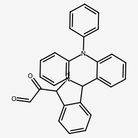 O=CC(=O)C1NC(c2ccccc2N(c2ccccc2)c2ccccc2)c2ccccc21